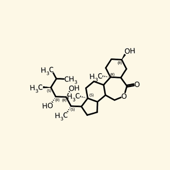 CC(C)[C@H](C)[C@@H](O)[C@H](O)[C@@H](C)C1CCC2C3COC(=O)C4C[C@H](O)CC[C@]4(C)C3CC[C@@]21C